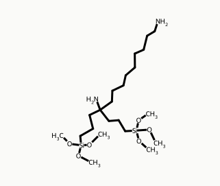 CO[Si](CCCC(N)(CCCCCCCCCN)CCC[Si](OC)(OC)OC)(OC)OC